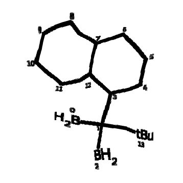 BC(B)(C1CCCC2CCCCC21)C(C)(C)C